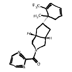 CC1([C@@H]2C[C@@H]3CN(C(=O)c4ncccn4)C[C@@H]3C2)CC=CC=C1C(F)(F)F